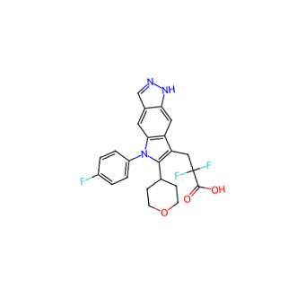 O=C(O)C(F)(F)Cc1c(C2CCOCC2)n(-c2ccc(F)cc2)c2cc3cn[nH]c3cc12